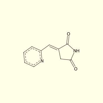 O=C1C/C(=C\c2ccccn2)C(=O)N1